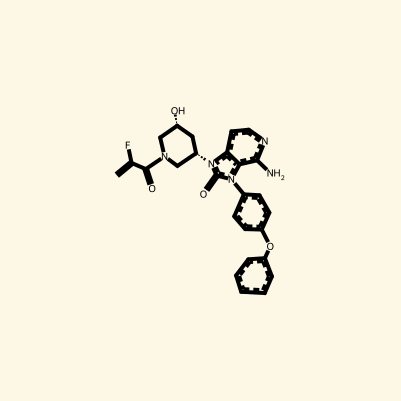 C=C(F)C(=O)N1C[C@H](O)C[C@H](n2c(=O)n(-c3ccc(Oc4ccccc4)cc3)c3c(N)nccc32)C1